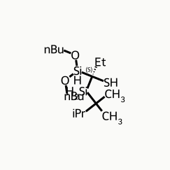 CCCCO[SiH](OCCCC)[C@](S)(CC)[SiH2]C(C)(C)C(C)C